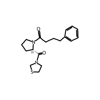 O=C([C@@H]1CCCN1C(=O)CCCc1ccccc1)N1CCSC1